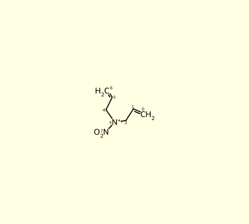 C=CC[N+](CC=C)[N+](=O)[O-]